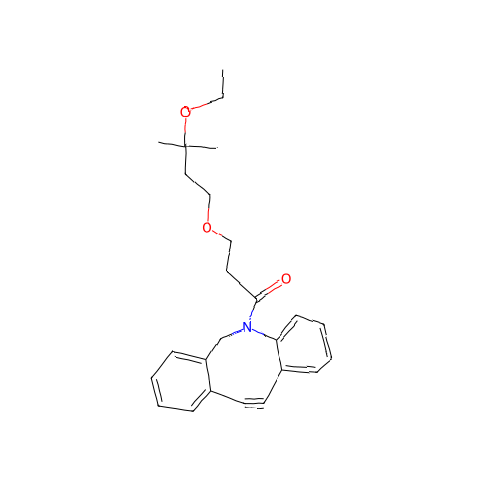 CCOC(C)(C)CCOCCC(=O)N1Cc2ccccc2C#Cc2ccccc21